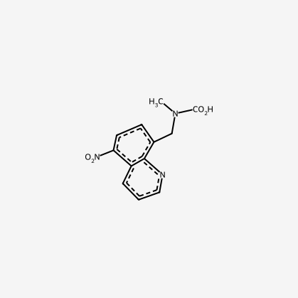 CN(Cc1ccc([N+](=O)[O-])c2cccnc12)C(=O)O